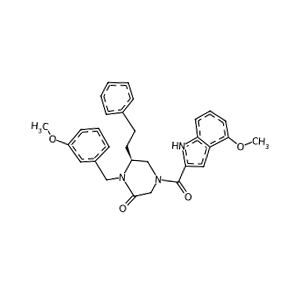 COc1cccc(CN2C(=O)CN(C(=O)c3cc4c(OC)cccc4[nH]3)C[C@@H]2CCc2ccccc2)c1